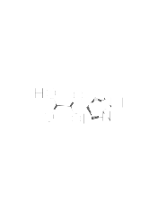 O=C(O)C(=O)O.c1cn[nH]c1